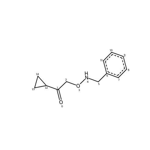 O=C(CONCc1cc[c]cc1)C1CC1